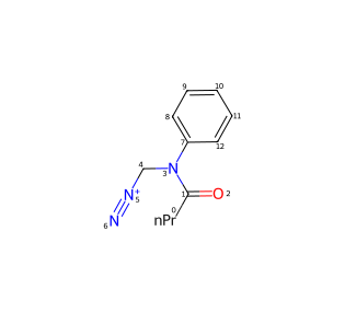 CCCC(=O)N(C[N+]#N)c1ccccc1